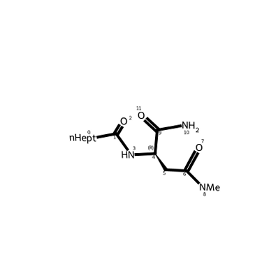 CCCCCCCC(=O)N[C@H](CC(=O)NC)C(N)=O